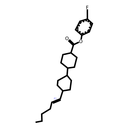 CCCC/C=C/C1CCC(C2CCC(C(=O)Oc3ccc(F)cc3)CC2)CC1